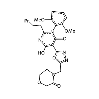 COc1cccc(OC)c1-n1c(CCC(C)C)nc(O)c(-c2nnc(CN3CCOCC3=O)o2)c1=O